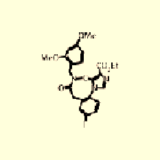 CCOC(=O)c1ncn2c1CN(Cc1ccc(OC)cc1OC)C(=O)Cc1cc(F)ccc1-2